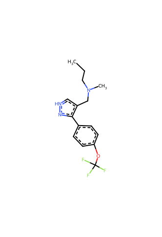 CCCN(C)Cc1c[nH]nc1-c1ccc(OC(F)(F)F)cc1